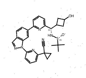 CC(C)(C)[S@@+]([O-])N[C@H](c1cccc(-c2ccc3cnn(-c4cccc(C5(C#N)CC5)n4)c3c2)n1)C1CC(O)C1